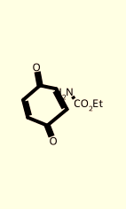 CCOC(N)=O.O=C1C=CC(=O)C=C1